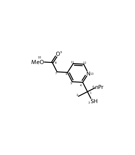 CCCC(C)(S)c1cc(CC(=O)OC)ccn1